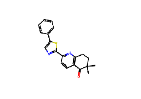 CC1(C)CCc2nc(-c3ncc(-c4ccccc4)s3)ccc2C1=O